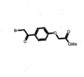 COC(=O)COc1ccc(C(=O)CBr)cc1